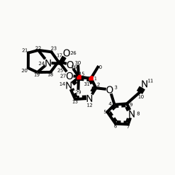 Cc1c(Oc2cccnc2C#N)ncnc1OC1CC2CCC(C1)N2C(=O)OC(C)(C)C